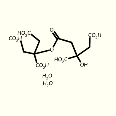 O.O.O=C(O)CC(O)(CC(=O)OC(CC(=O)O)(CC(=O)O)C(=O)O)C(=O)O